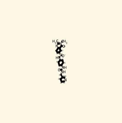 Cc1nc2ccc([S+]([O-])Nc3ccc(NC(=O)NCc4cccnc4)cc3)cc2c(=O)n1C